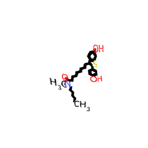 CCCCCCCN(C)C(=O)CCCCCCCCc1c(-c2ccc(O)cc2)sc2cc(O)ccc12